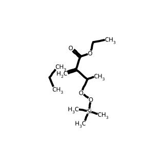 C=C(C(=O)OCC)C(C)OO[Si](C)(C)C.CCC